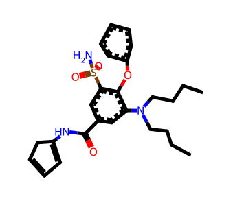 CCCCN(CCCC)c1cc(C(=O)NC2=CC=CC2)cc(S(N)(=O)=O)c1Oc1ccccc1